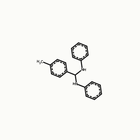 Cc1ccc(C(Nc2ccccc2)Nc2ccccc2)cc1